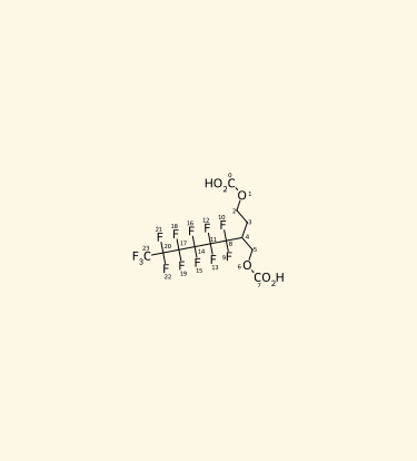 O=C(O)OCCC(COC(=O)O)C(F)(F)C(F)(F)C(F)(F)C(F)(F)C(F)(F)C(F)(F)F